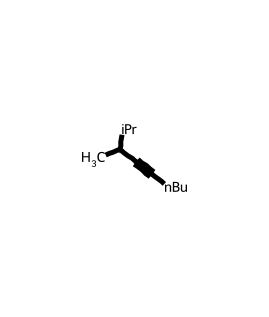 CCCCC#C[C](C)C(C)C